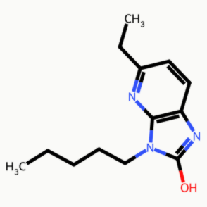 CCCCCn1c(O)nc2ccc(CC)nc21